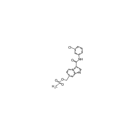 CS(=O)(=O)OCc1ccn2c(C(=O)Nc3cccc(Cl)c3)cnc2c1